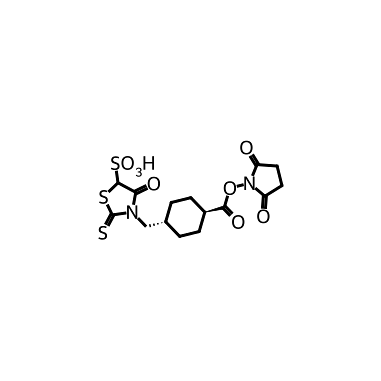 O=C1C(S(=O)(=O)O)SC(=S)N1C[C@H]1CC[C@H](C(=O)ON2C(=O)CCC2=O)CC1